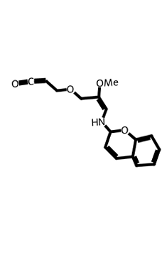 COC(=CNC1C=Cc2ccccc2O1)COCC=C=O